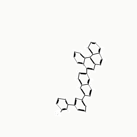 N#Cc1cccc(-c2cccc(-c3ccc4cc(-c5cc6ccc7ccccc7c6c6ccccc56)ccc4c3)c2)c1